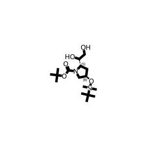 CC(C)(C)OC(=O)N1C[C@H](O[Si](C)(C)C(C)(C)C)C[C@H]1C(O)CO